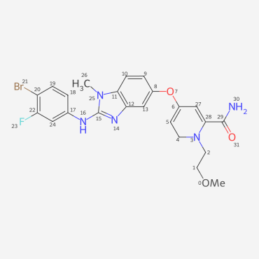 COCCN1CC=C(Oc2ccc3c(c2)nc(Nc2ccc(Br)c(F)c2)n3C)C=C1C(N)=O